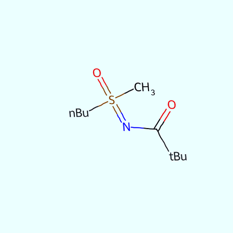 CCCCS(C)(=O)=NC(=O)C(C)(C)C